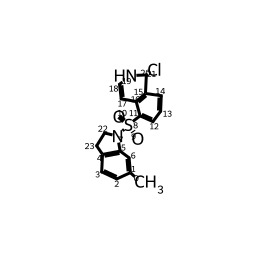 Cc1ccc2c(c1)N(S(=O)(=O)c1cccc3c1C=CNC3Cl)CC2